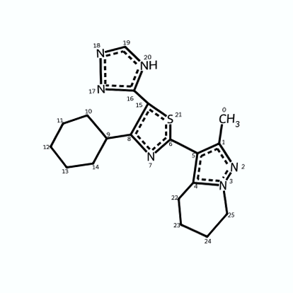 Cc1nn2c(c1-c1nc(C3CCCCC3)c(-c3nnc[nH]3)s1)CCCC2